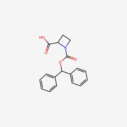 O=C(O)C1CCN1C(=O)OC(c1ccccc1)c1ccccc1